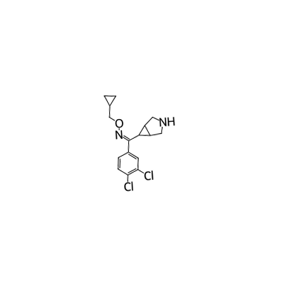 Clc1ccc(C(=NOCC2CC2)C2C3CNCC32)cc1Cl